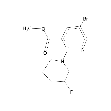 COC(=O)c1cc(Br)cnc1N1CCCC(F)C1